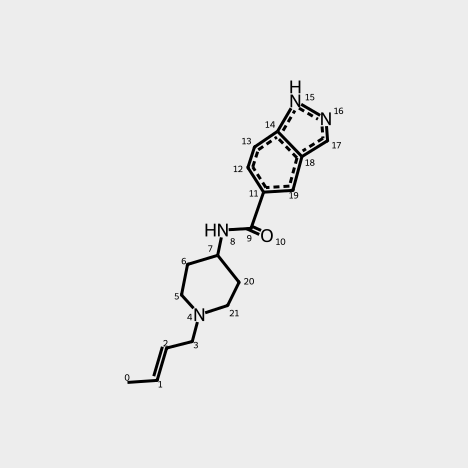 C/C=C/CN1CCC(NC(=O)c2ccc3[nH]ncc3c2)CC1